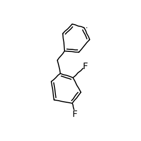 Fc1ccc(Cc2cc[c]cc2)c(F)c1